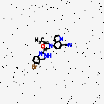 C[C@@H]1CN(c2ccc(C#N)c3ncccc23)C[C@H](C2=Nc3ccc(Br)cc3CN2)O1